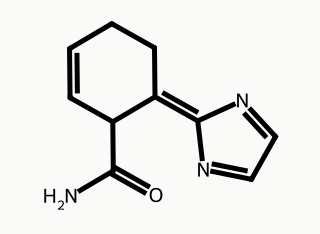 NC(=O)C1C=CCCC1=C1N=CC=N1